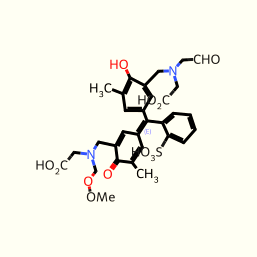 COOCN(CC(=O)O)CC1=C/C(=C(\c2cc(C)c(O)c(CN(CC=O)CC(=O)O)c2)c2ccccc2S(=O)(=O)O)C=C(C)C1=O